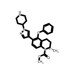 COC(=O)N1c2ccc(-c3cnn(C4CCNCC4)c3)c(Oc3ccccc3)c2CC[C@@H]1C